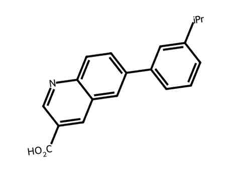 CC(C)c1cccc(-c2ccc3ncc(C(=O)O)cc3c2)c1